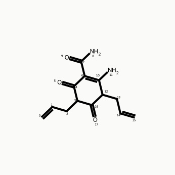 C=CCC1C(=O)C(C(N)=O)=C(N)C(CC=C)C1=O